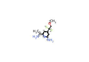 COCC(F)(F)c1cc(N)nc([C@@H](C)N)c1